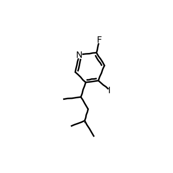 C[C](C)CC(C)c1cnc(F)cc1I